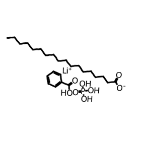 CCCCCCCCCCCCCCCCCC(=O)[O-].O=C(O)c1ccccc1.O=P(O)(O)O.[Li+]